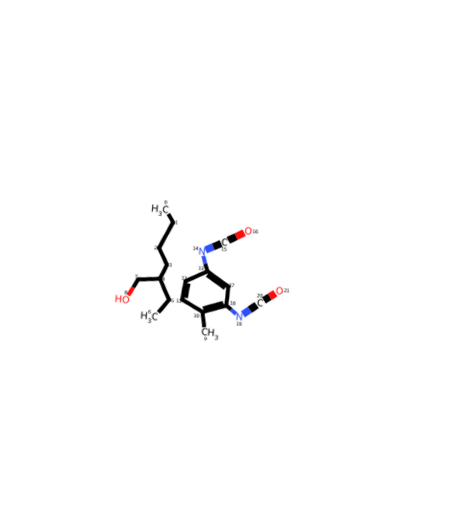 CCCCC(CC)CO.Cc1ccc(N=C=O)cc1N=C=O